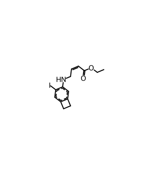 CCOC(=O)/C=C\CNc1cc2c(cc1I)CC2